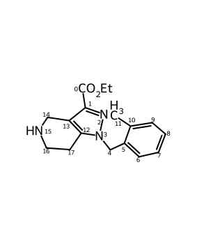 CCOC(=O)c1nn(Cc2ccccc2C)c2c1CNCC2